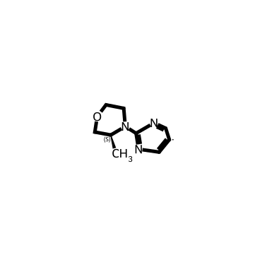 C[C@H]1COCCN1c1nc[c]cn1